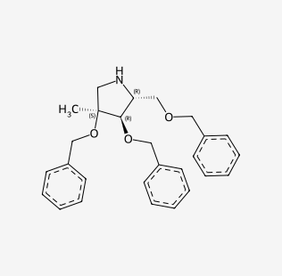 C[C@]1(OCc2ccccc2)CN[C@H](COCc2ccccc2)[C@H]1OCc1ccccc1